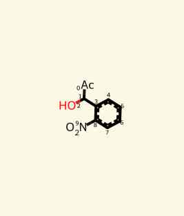 CC(=O)C(O)c1ccccc1[N+](=O)[O-]